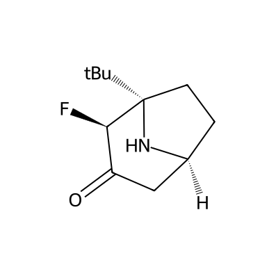 CC(C)(C)[C@@]12CC[C@@H](CC(=O)[C@H]1F)N2